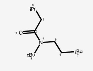 CC(C)CC(=O)N(CCC(C)(C)C)C(C)(C)C